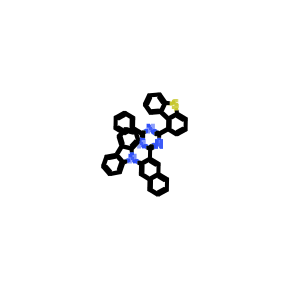 c1ccc(-c2nc(-c3cc4ccccc4cc3-n3c4ccccc4c4ccccc43)nc(-c3cccc4sc5ccccc5c34)n2)cc1